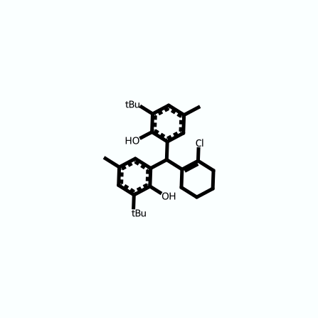 Cc1cc(C(C2=C(Cl)CCCC2)c2cc(C)cc(C(C)(C)C)c2O)c(O)c(C(C)(C)C)c1